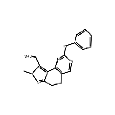 COCc1c2c(nn1C)CCc1cnc(Nc3ccccc3)nc1-2